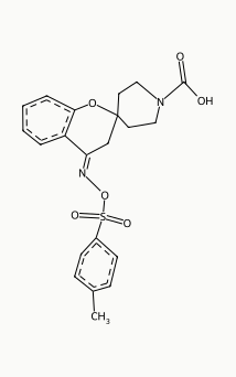 Cc1ccc(S(=O)(=O)ON=C2CC3(CCN(C(=O)O)CC3)Oc3ccccc32)cc1